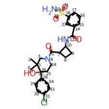 CC1(C)CN(C(=O)C2CCC2NC(=O)c2cccc(S(N)(=O)=O)c2)CC[C@]1(O)c1ccc(Cl)cc1